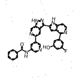 O=C(Nc1cncc(-c2cc3c(-c4cc5c(-c6cc(O)cc(F)c6)nccc5[nH]4)n[nH]c3cn2)c1)c1ccccc1